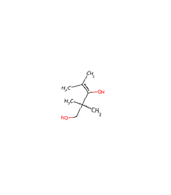 CC(C)=C(O)C(C)(C)CO